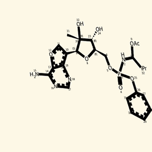 CC(=O)OC(NP(=O)(OC[C@H]1O[C@@H](c2coc3c(N)ncnc23)[C@](C)(O)[C@@H]1O)Oc1ccccc1)C(C)C